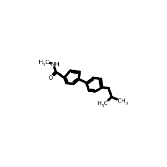 CNC(=O)c1ccc(-c2ccc(CC(C)C)cc2)cc1